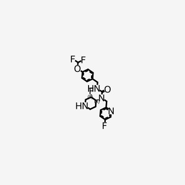 O=C(NCc1ccc(OC(F)F)cc1)N(Cc1ccc(F)cn1)[C@@H]1CCNC[C@@H]1F